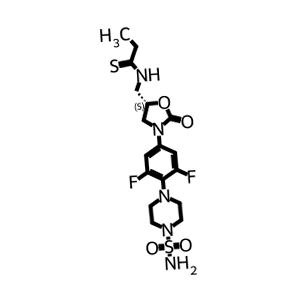 CCC(=S)NC[C@H]1CN(c2cc(F)c(N3CCN(S(N)(=O)=O)CC3)c(F)c2)C(=O)O1